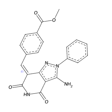 COC(=O)c1ccc(/C=C2/C(=O)NC(=O)c3c2nn(-c2ccccc2)c3N)cc1